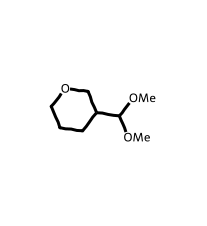 COC(OC)C1CCCOC1